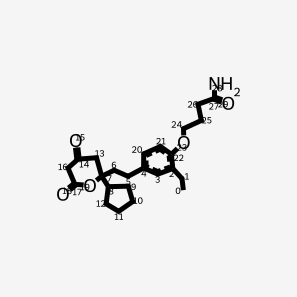 CCc1cc(CCC2(C3CCCC3)CC(=O)CC(=O)O2)ccc1OCCCC(N)=O